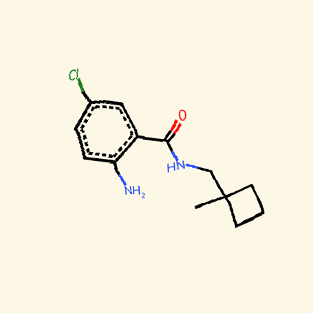 CC1(CNC(=O)c2cc(Cl)ccc2N)CCC1